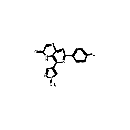 Cn1cc(-c2nc(-c3ccc(Cl)cc3)cc3ncc(=O)[nH]c23)cn1